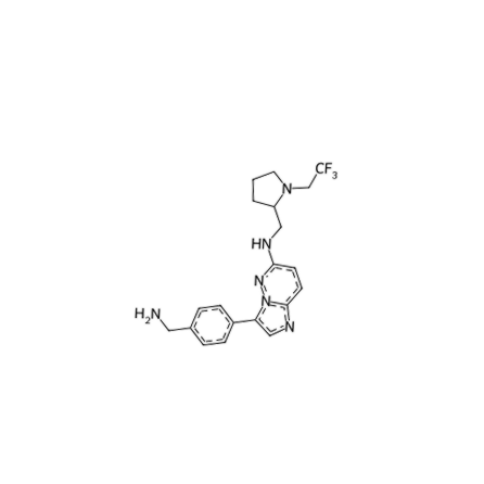 NCc1ccc(-c2cnc3ccc(NCC4CCCN4CC(F)(F)F)nn23)cc1